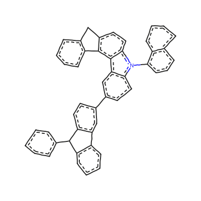 c1ccc(C2c3ccccc3-c3cc(-c4ccc5c(c4)c4c6c(ccc4n5-c4cccc5ccccc45)Cc4ccccc4-6)ccc32)cc1